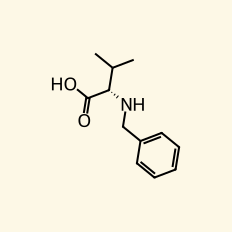 CC(C)[C@H](NCc1ccccc1)C(=O)O